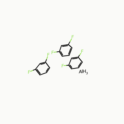 Fc1cccc(F)c1.Fc1cccc(F)c1.Fc1cccc(F)c1.[AlH3]